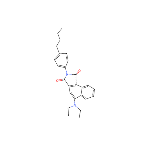 CCCCc1ccc(N2C(=O)c3cc(N(CC)CC)c4ccccc4c3C2=O)cc1